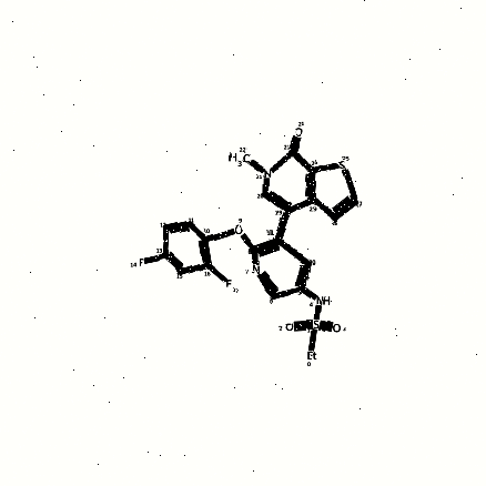 CCS(=O)(=O)Nc1cnc(Oc2ccc(F)cc2F)c(-c2cn(C)c(=O)c3sccc23)c1